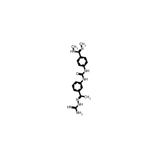 C/N=C(\NC)c1ccc(NC(=O)Nc2cccc(/C(C)=N/NC(=N)N)c2)cc1